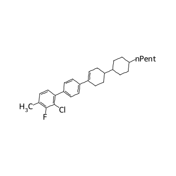 CCCCCC1CCC(C2CC=C(c3ccc(-c4ccc(C)c(F)c4Cl)cc3)CC2)CC1